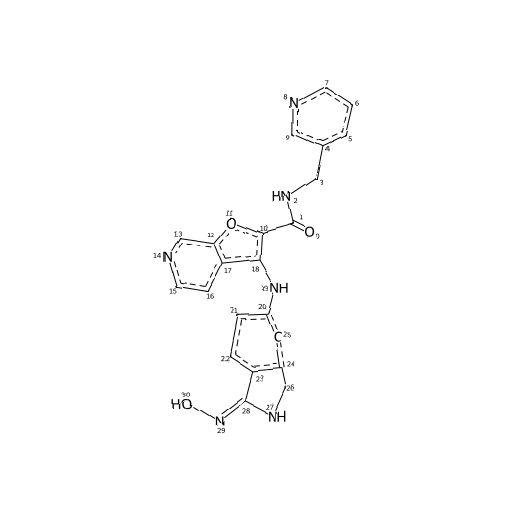 O=C(NCc1cccnc1)c1oc2cnccc2c1Nc1ccc2c(c1)CN/C2=N/O